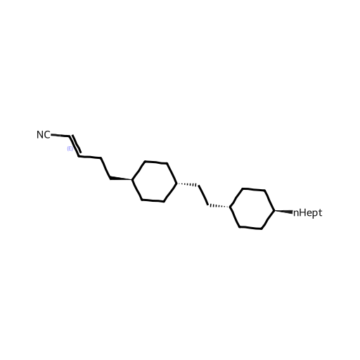 CCCCCCC[C@H]1CC[C@H](CC[C@H]2CC[C@H](CC/C=C/C#N)CC2)CC1